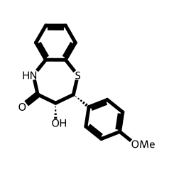 COc1ccc([C@H]2Sc3ccccc3NC(=O)[C@H]2O)cc1